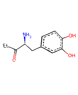 CCC(=O)[C@@H](N)Cc1ccc(O)c(O)c1